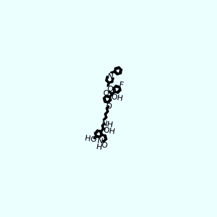 O=C(OCC1CCN(Cc2ccccc2)CC1)C(O)(c1ccc(F)cc1)c1cccc(OCCCCCNC[C@H](O)c2ccc(O)c3[nH]c(=O)ccc23)c1